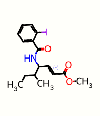 CCC(C)C(/C=C/C(=O)OC)NC(=O)c1ccccc1I